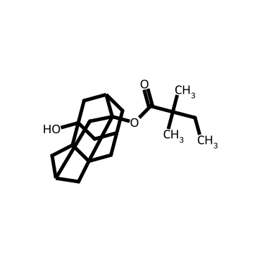 CCC(C)(C)C(=O)OC12CC3CC4C5(O)CC(CC1C5)CC42C3